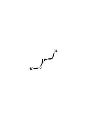 OCOOO